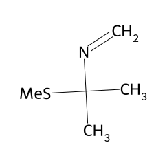 C=NC(C)(C)SC